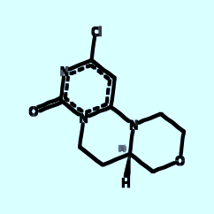 O=c1nc(Cl)cc2n1CC[C@H]1COCCN21